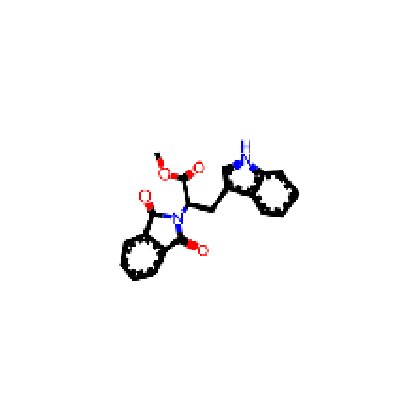 COC(=O)C(Cc1c[nH]c2ccccc12)N1C(=O)c2ccccc2C1=O